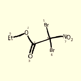 CCOC(=O)C(Br)(Br)[N+](=O)[O-]